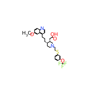 COc1ccc2nccc(CCC[C@@H]3CCN(CCSc4cccc(OC(F)(F)F)c4)C[C@@H]3CC(=O)O)c2c1